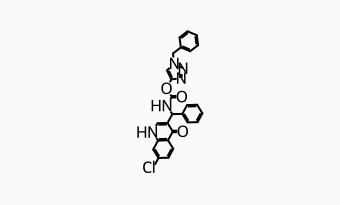 O=C(NC(c1ccccc1)c1c[nH]c2cc(Cl)ccc2c1=O)Oc1cn(Cc2ccccc2)nn1